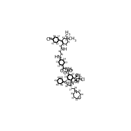 CC1(C)CCC(CNCCNc2ccc(C(=O)NS(=O)(=O)c3ccc(N[C@H](CCN4CCCOCC4)CSc4ccccc4)c(S(=O)(=O)C(F)(F)Cl)c3)cc2)=C(c2ccc(Cl)cc2)C1